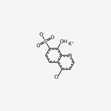 O=S(=O)([O-])c1ccc2c(Cl)ccnc2c1O.[K+]